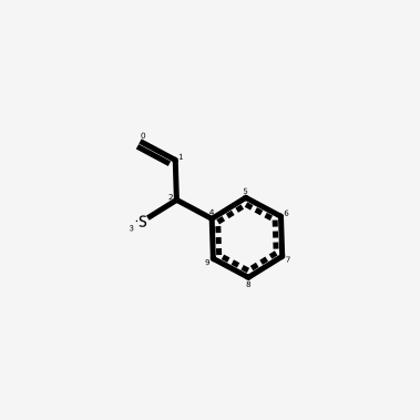 C=CC([S])c1ccccc1